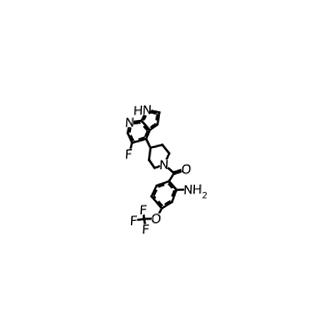 Nc1cc(OC(F)(F)F)ccc1C(=O)N1CCC(c2c(F)cnc3[nH]ccc23)CC1